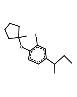 CCC(C)c1ccc(OC2(C)CCCC2)c(F)c1